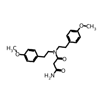 COc1ccc(CCN(CCc2ccc(OC)cc2)C(=O)CC(N)=O)cc1